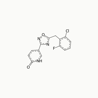 O=c1ccc(-c2noc(Cc3c(F)cccc3Cl)n2)c[nH]1